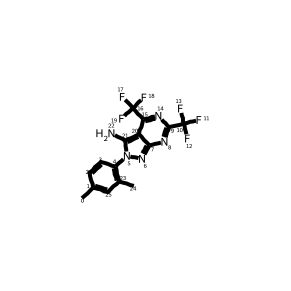 Cc1ccc(-n2nc3nc(C(F)(F)F)nc(C(F)(F)F)c3c2N)c(C)c1